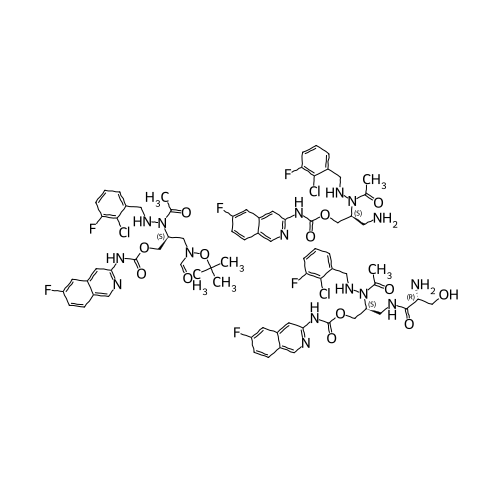 CC(=O)N(NCc1cccc(F)c1Cl)[C@@H](CN)COC(=O)Nc1cc2cc(F)ccc2cn1.CC(=O)N(NCc1cccc(F)c1Cl)[C@@H](CNC(=O)[C@H](N)CO)COC(=O)Nc1cc2cc(F)ccc2cn1.CC(=O)N(NCc1cccc(F)c1Cl)[C@H](COC(=O)Nc1cc2cc(F)ccc2cn1)CN(C=O)OC(C)(C)C